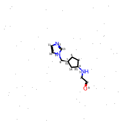 O=[C]CN[C@@H]1CC[C@H](Cn2ccnc2)C1